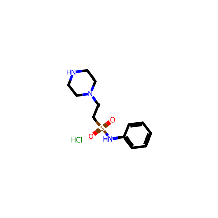 Cl.O=S(=O)(CCN1CCNCC1)Nc1ccccc1